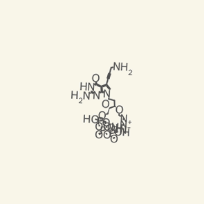 [N-]=[N+]=NCOC1C[C@H](n2cc(C#CCN)c3c(=O)[nH]c(N)nc32)O[C@@H]1COP(=O)(O)OP(=O)(O)OP(=O)(O)O